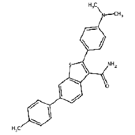 Cc1ccc(-c2ccc3c(C(N)=O)c(-c4ccc(N(C)C)cc4)sc3c2)cc1